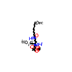 CCCCCCCCCCCCCCCCCC(=O)NCCCC(CC(=O)O)NC(=O)C1OC(C)(C)OCC1(C)C